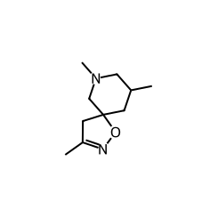 CC1=NOC2(C1)CC(C)CN(C)C2